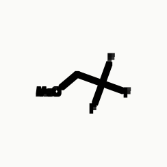 COCC(F)(F)F